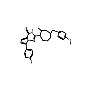 COc1ccc(CC2CCCC(c3nn4c(-c5ccc(F)cc5)ncc4c(=O)[nH]3)C(C)C2)cc1